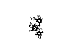 COc1cn(Cc2ccc(F)c(O)c2)c(Nc2cc(C)c(Cl)cc2C)nc1=O